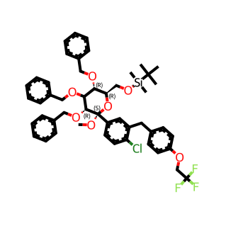 CO[C@@]1(c2ccc(Cl)c(Cc3ccc(OCC(F)(F)F)cc3)c2)O[C@H](CO[Si](C)(C)C(C)(C)C)[C@@H](OCc2ccccc2)C(OCc2ccccc2)[C@H]1OCc1ccccc1